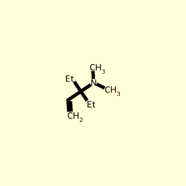 C=CC(CC)(CC)N(C)C